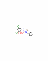 O=C(Nc1cc(Cl)cc(Cl)c1O)N(S)Cc1ccccc1